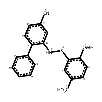 COc1ccc(C(=O)O)cc1SNc1cc(C#N)ccc1-c1ccccc1